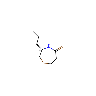 CCC[C@@H]1CSCCC(=S)N1